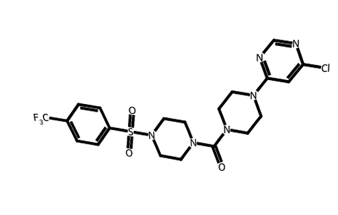 O=C(N1CCN(c2cc(Cl)ncn2)CC1)N1CCN(S(=O)(=O)c2ccc(C(F)(F)F)cc2)CC1